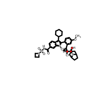 COc1ccc(-c2c(C3CCCCC3)c3ccc(C(=O)NS(=O)(=O)N4CCC4)cc3n2C)c(C2CC2(C)C(=O)N2C3CCC2CC(C)(O)C3)c1